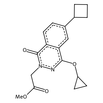 COC(=O)Cn1nc(OC2CC2)c2cc(C3CCC3)ccc2c1=O